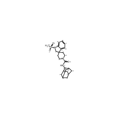 CS(=O)(=O)N1CC2(CCN(C(=O)NC3C4CC5CC(C4)CC3C5)CC2)c2ccccc21